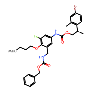 COCCCOc1c(F)cc(NC(=O)OC[C@H](C)c2ccc(Br)cc2C)cc1CNC(=O)OCc1ccccc1